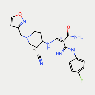 N#C[C@@H]1CN(Cc2ccon2)CCC1N/C=C(\C(=N)Nc1ccc(F)cc1)C(N)=O